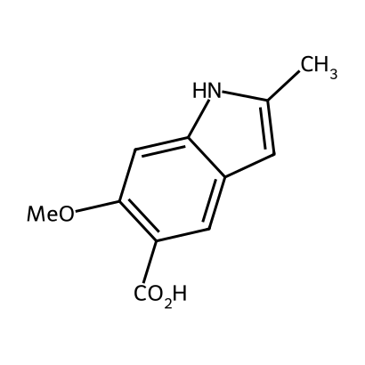 COc1cc2[nH]c(C)cc2cc1C(=O)O